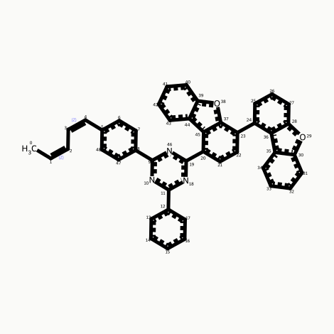 C/C=C\C=C/c1ccc(-c2nc(-c3ccccc3)nc(-c3ccc(-c4cccc5oc6ccccc6c45)c4oc5ccccc5c34)n2)cc1